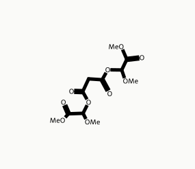 COC(=O)C(OC)OC(=O)CC(=O)OC(OC)C(=O)OC